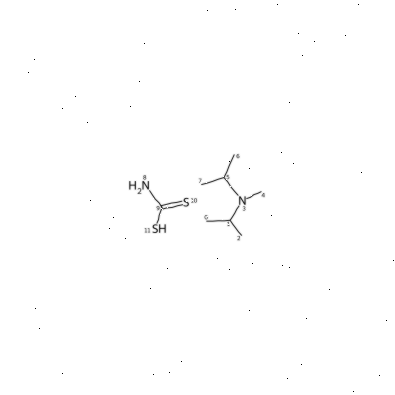 CC(C)N(C)C(C)C.NC(=S)S